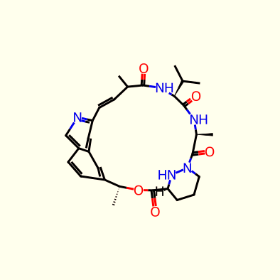 CC1/C=C/c2cc3cc(ccc3cn2)[C@@H](C)OC(=O)[C@@H]2CCCN(N2)C(=O)[C@H](C)NC(=O)[C@H](C(C)C)NC1=O